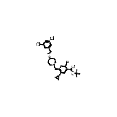 CC(C)(C)OC(=O)c1cc(C2CC2)c(CN2CCC(OCc3cc(Cl)cc(Cl)c3)CC2)cc1F